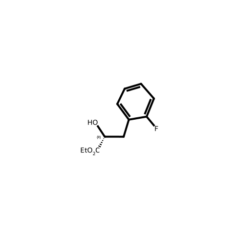 CCOC(=O)[C@H](O)Cc1ccccc1F